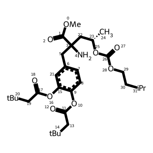 COC(=O)C(N)(Cc1ccc(OC(=O)CC(C)(C)C)c(OC(=O)CC(C)(C)C)c1)C[C@H](C)OC(=O)OCCC(C)C